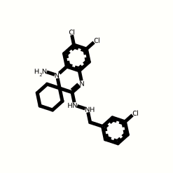 NN1c2cc(Cl)c(Cl)cc2N=C(NNCc2cccc(Cl)c2)C12CCCCC2